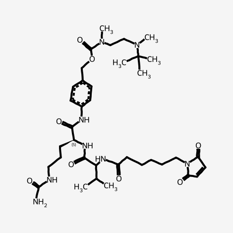 CC(C)C(NC(=O)CCCCCN1C(=O)C=CC1=O)C(=O)N[C@@H](CCCNC(N)=O)C(=O)Nc1ccc(COC(=O)N(C)CCN(C)C(C)(C)C)cc1